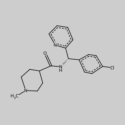 CN1CCC(C(=O)N[C@@H](c2ccc(Cl)cc2)c2ccccn2)CC1